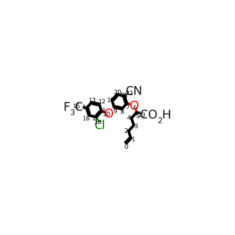 C=CCCCC(Oc1cc(Oc2ccc(C(F)(F)F)cc2Cl)ccc1C#N)C(=O)O